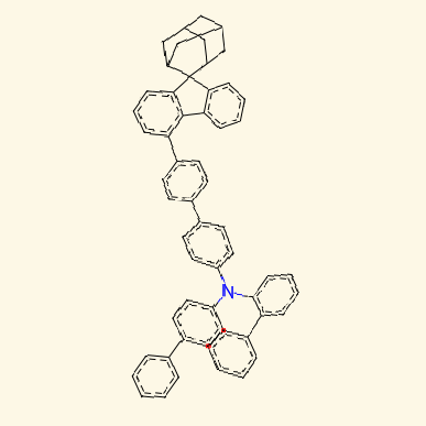 c1ccc(-c2ccc(N(c3ccc(-c4ccc(-c5cccc6c5-c5ccccc5C65C6CC7CC(C6)CC5C7)cc4)cc3)c3ccccc3-c3ccccc3)cc2)cc1